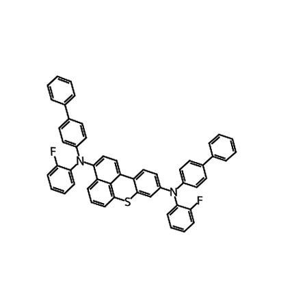 Fc1ccccc1N(c1ccc(-c2ccccc2)cc1)c1ccc2c(c1)Sc1cccc3c(N(c4ccc(-c5ccccc5)cc4)c4ccccc4F)ccc-2c13